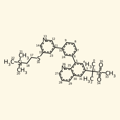 CC(C)(c1cc(-c2cccc(-c3cncc(SCC[Si](C)(C)C)c3)c2)c2ncccc2c1)S(C)(=O)=O